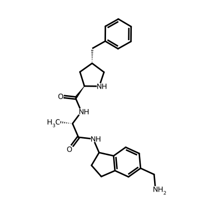 C[C@H](NC(=O)[C@H]1C[C@H](Cc2ccccc2)CN1)C(=O)NC1CCc2cc(CN)ccc21